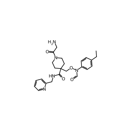 CCc1ccc(N(C=O)OCC2(C(=O)NCc3ccccn3)CCN(C(=O)CN)CC2)cc1